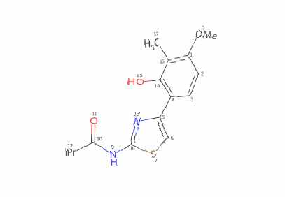 COc1ccc(-c2csc(NC(=O)C(C)C)n2)c(O)c1C